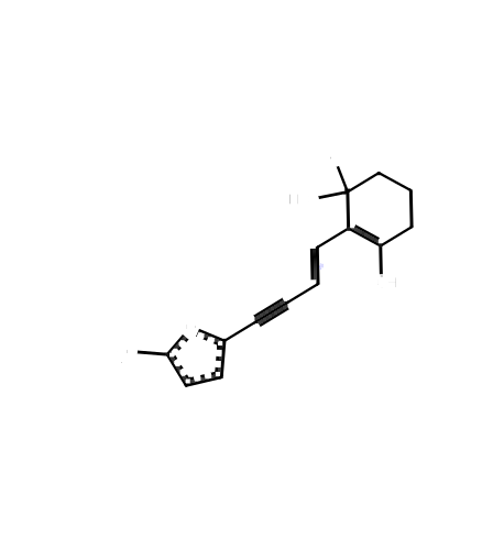 CCOC(=O)c1ccc(C#C/C=C/C2=C(C)CCCC2(C)C)o1